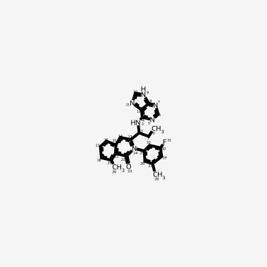 CCC(Nc1ncnc2[nH]cnc12)c1cc2cccc(C)c2c(=O)n1-c1cc(C)cc(F)c1